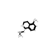 CNC[C@@H]1OCCc2c(C)cccc21